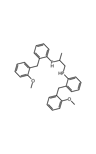 COc1ccccc1Cc1ccccc1PCC(C)Pc1ccccc1Cc1ccccc1OC